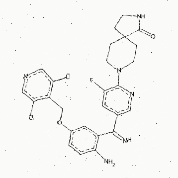 N=C(c1cnc(N2CCC3(CCNC3=O)CC2)c(F)c1)c1cc(OCc2c(Cl)cncc2Cl)ccc1N